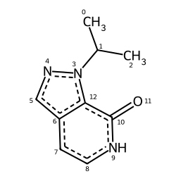 CC(C)n1ncc2cc[nH]c(=O)c21